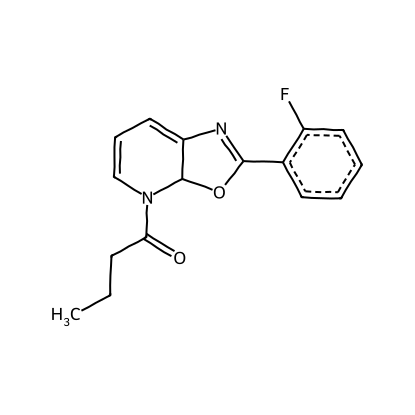 CCCC(=O)N1C=CC=C2N=C(c3ccccc3F)OC21